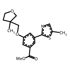 COC(=O)c1cc(OCC2(C)CCOC2)cc(-c2ncc(C)s2)c1